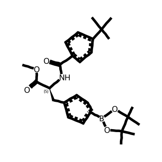 COC(=O)[C@H](Cc1ccc(B2OC(C)(C)C(C)(C)O2)cc1)NC(=O)c1ccc(C(C)(C)C)cc1